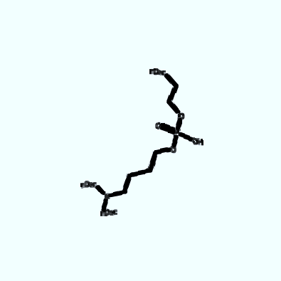 CCCCCCCCCCCCOP(=O)(O)OCCCCN(CCCCCCCCCC)CCCCCCCCCC